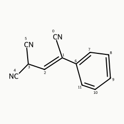 N#CC(=CC(C#N)C#N)c1ccccc1